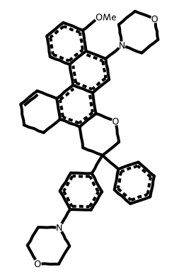 COc1cccc2c1c(N1CCOCC1)cc1c3c(c4c(c12)C=CCC4)CC(c1ccccc1)(c1ccc(N2CCOCC2)cc1)CO3